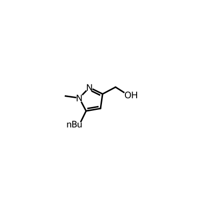 CCCCc1cc(CO)nn1C